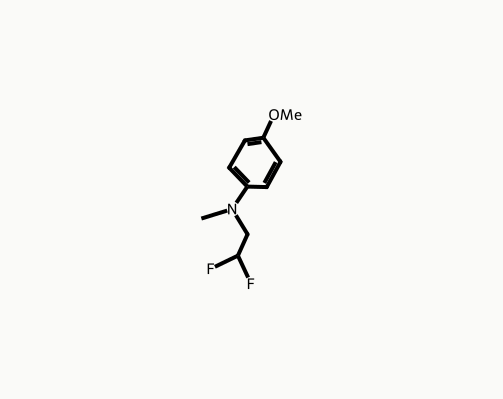 COc1ccc(N(C)CC(F)F)cc1